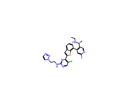 CCN[C@@H](C)c1cnc(F)cc1-c1cccc2cc(-c3nc(NCCn4ccnn4)ncc3F)sc12